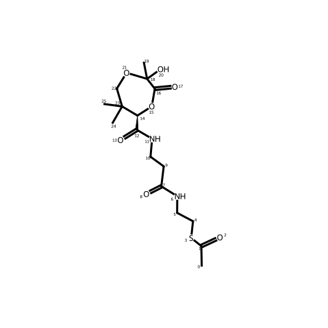 CC(=O)SCCNC(=O)CCNC(=O)[C@@H]1OC(=O)C(C)(O)OCC1(C)C